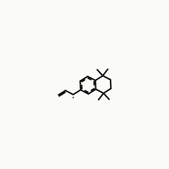 C=C[CH]c1ccc2c(c1)C(C)(C)CCC2(C)C